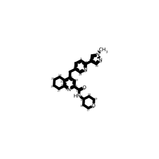 Cn1cc(-c2ccc(Cc3cc(C(=O)NC4CCOCC4)nc4c3CCCC4)cn2)cn1